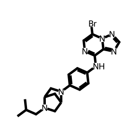 CC(C)CN1CC2CC1CN2c1ccc(Nc2ncc(Br)n3ncnc23)cc1